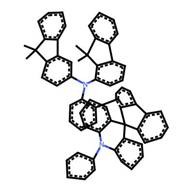 CC1(C)c2ccccc2-c2cc(N(c3ccccc3-c3cccc4c3C3(c5ccccc5-4)c4ccccc4N(c4ccccc4)c4ccccc43)c3cccc4c3C(C)(C)c3ccccc3-4)ccc21